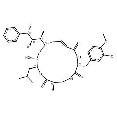 COc1ccc(C[C@H]2NC(=O)/C=C/C[C@@H]([C@H](C)[C@@H](O)[C@@H](Cl)c3ccccc3)O[C@@H](O)[C@H](CC(C)C)OC(=O)[C@H](C)CNC2=O)cc1Cl